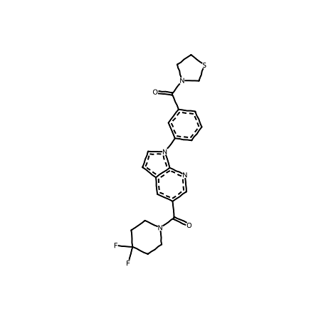 O=C(c1cnc2c(ccn2-c2cccc(C(=O)N3CCSC3)c2)c1)N1CCC(F)(F)CC1